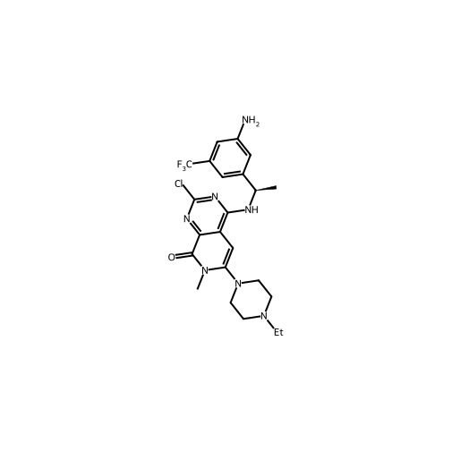 CCN1CCN(c2cc3c(N[C@H](C)c4cc(N)cc(C(F)(F)F)c4)nc(Cl)nc3c(=O)n2C)CC1